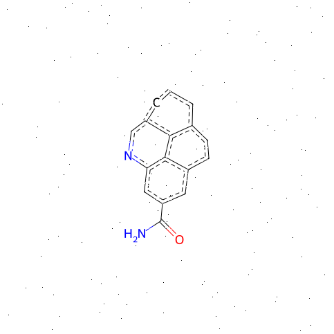 NC(=O)c1cc2ccc3cccc4cnc(c1)c2c34